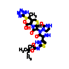 CC(Sc1nnn[nH]1)C1=C(C(=O)O)N2C(=O)C(N(C(=O)C(=N)c3csc(=NC(=O)OC(C)(C)C)[nH]3)N3CCNC3=O)[C@@H]2SC1